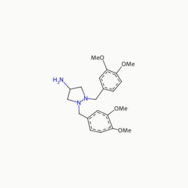 COc1ccc(CN2CC(N)CN2Cc2ccc(OC)c(OC)c2)cc1OC